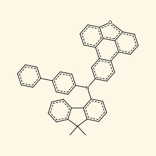 CC1(C)c2ccccc2-c2c(N(c3ccc(-c4ccccc4)cc3)c3ccc4c(c3)c3cccc5oc6cccc4c6c53)cccc21